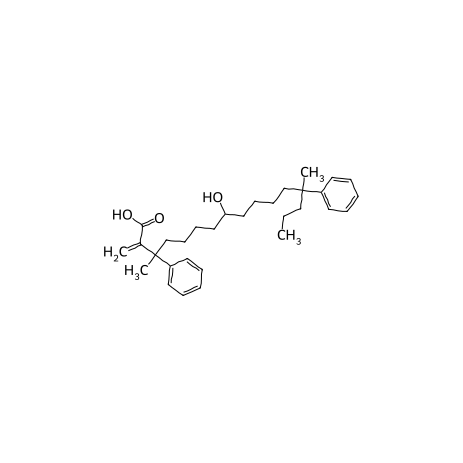 C=C(C(=O)O)C(C)(CCCCC(O)CCCCC(C)(CCC)c1ccccc1)c1ccccc1